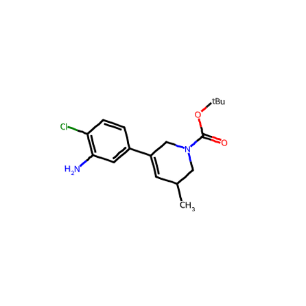 CC1C=C(c2ccc(Cl)c(N)c2)CN(C(=O)OC(C)(C)C)C1